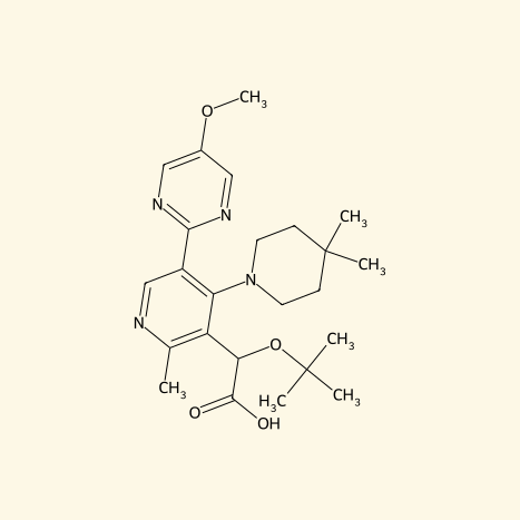 COc1cnc(-c2cnc(C)c(C(OC(C)(C)C)C(=O)O)c2N2CCC(C)(C)CC2)nc1